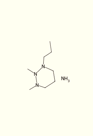 CCCN1CCCN(C)N1C.N